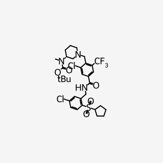 CN(C(=O)OC(C)(C)C)[C@H]1CCCN(Cc2c(Cl)cc(C(=O)NCc3cc(Cl)ccc3S(=O)(=O)C3CCCC3)cc2C(F)(F)F)C1